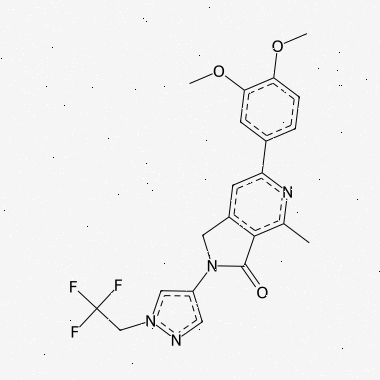 COc1ccc(-c2cc3c(c(C)n2)C(=O)N(c2cnn(CC(F)(F)F)c2)C3)cc1OC